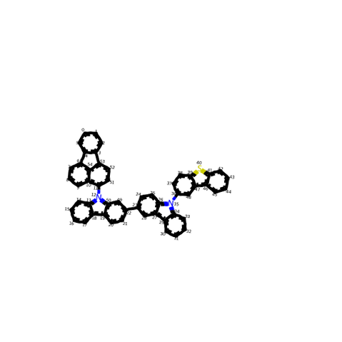 c1ccc2c(c1)-c1cccc3c(-n4c5ccccc5c5ccc(-c6ccc7c(c6)c6ccccc6n7-c6ccc7sc8ccccc8c7c6)cc54)ccc-2c13